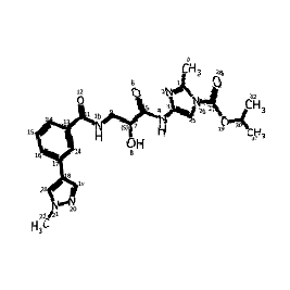 Cc1nc(NC(=O)[C@@H](O)CNC(=O)c2cccc(-c3cnn(C)c3)c2)cn1C(=O)OC(C)C